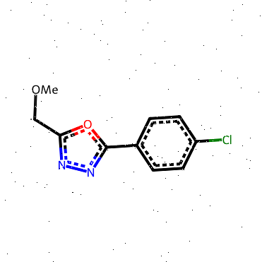 CO[CH]c1nnc(-c2ccc(Cl)cc2)o1